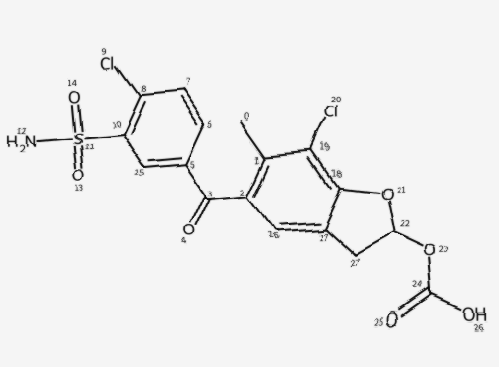 Cc1c(C(=O)c2ccc(Cl)c(S(N)(=O)=O)c2)cc2c(c1Cl)OC(OC(=O)O)C2